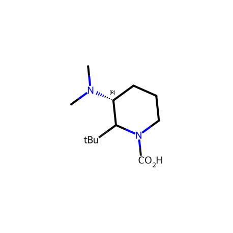 CN(C)[C@@H]1CCCN(C(=O)O)C1C(C)(C)C